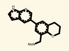 CNCc1cc(-c2cnc3[nH]ccc3c2)cc2c1OCCC2